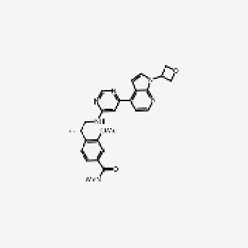 CNC(=O)c1ccc([C@H](C)CNc2cc(-c3ccnc4c3ccn4C3COC3)ncn2)c(OC)c1